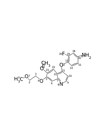 COCCOc1cc2nccc(Oc3ccc(N)cc3F)c2cc1OC